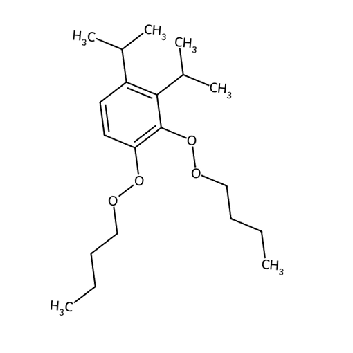 CCCCOOc1ccc(C(C)C)c(C(C)C)c1OOCCCC